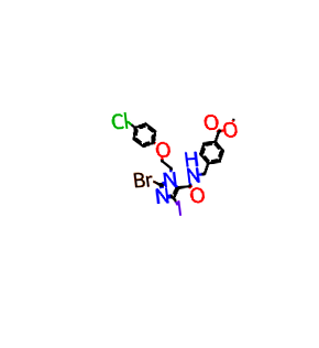 COC(=O)c1ccc(CNC(=O)c2c(I)nc(Br)n2CCOc2ccc(Cl)cc2)cc1